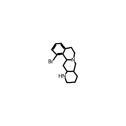 Brc1cccc2c1C1CC3NCCCC3CN1CC2